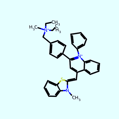 CC[N+](C)(CC)Cc1ccc(-c2cc(/C=C3\Sc4ccccc4N3C)c3ccccc3[n+]2-c2ccccc2)cc1